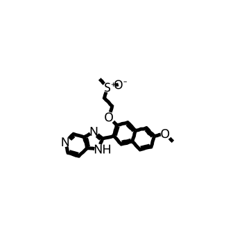 COc1ccc2cc(-c3nc4cnccc4[nH]3)c(OCC[S+](C)[O-])cc2c1